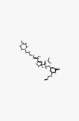 C=CCOc1cc([C@@H](CCC)NC(=O)[C@]2(C)CSC(/C(C)=N/OCCCN3CCN(C)CC3)=N2)oc(=O)c1